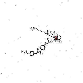 C[C@@H]1CC[C@@]23CCC(=O)[C@H]2[C@]1(C)[C@H](OC(=O)CSc1ccc(C(=O)NCc2ccc(CN)cc2)cc1)C[C@](C)(CNCCCCCCN)[C@@H](O)[C@@H]3C